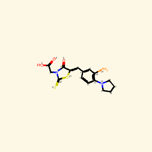 O=C(O)CN1C(=O)/C(=C/c2ccc(N3CCCC3)c(P)c2)SC1=S